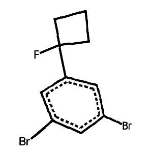 FC1(c2cc(Br)cc(Br)c2)CCC1